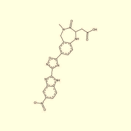 CN1Cc2cc(-c3nc(-c4nc5cc([N+](=O)[O-])ccc5[nH]4)no3)ccc2NC(CC(=O)O)C1=O